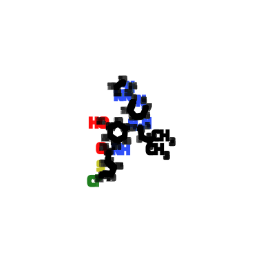 CC(C)Cc1nc2cnc(-n3nccn3)cc2n1[C@@H]1C[C@@H](O)C[C@H](NC(=O)c2ccc(Cl)s2)C1